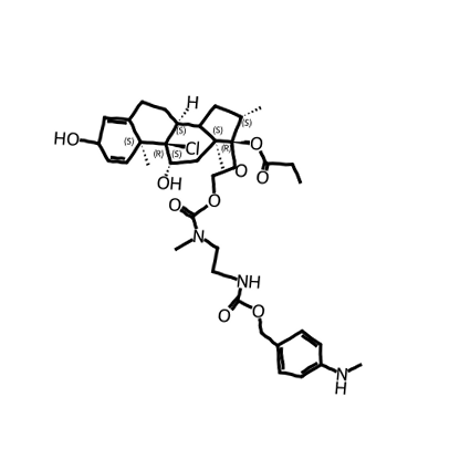 CCC(=O)O[C@]1(C(=O)COC(=O)N(C)CCNC(=O)OCc2ccc(NC)cc2)[C@@H](C)CC2[C@@H]3CCC4=CC(O)C=C[C@]4(C)[C@@]3(Cl)[C@@H](O)C[C@@]21C